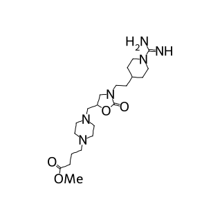 COC(=O)CCCN1CCN(CC2CN(CCC3CCN(C(=N)N)CC3)C(=O)O2)CC1